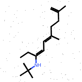 C=C(C)CC/C(C)=C/C=C(\CC)NC(C)(C)C